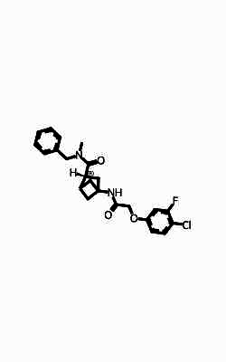 CN(Cc1ccccc1)C(=O)[C@@H]1CC2(NC(=O)COc3ccc(Cl)c(F)c3)CC1C2